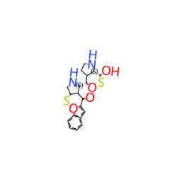 O=C(c1cc2ccccc2o1)C1C(=S)CN[C@@H]1C(=O)C1CCN[C@@H]1C(O)=S